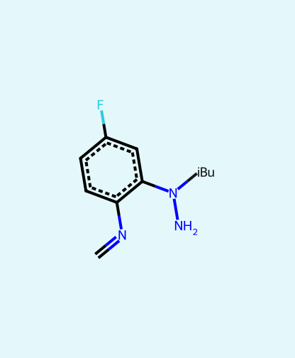 C=Nc1ccc(F)cc1N(N)C(C)CC